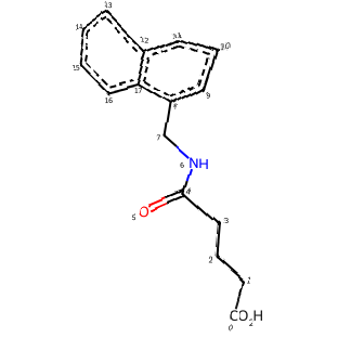 O=C(O)CCCC(=O)NCc1cccc2ccccc12